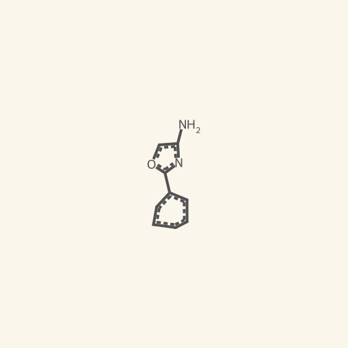 Nc1coc(-c2ccccc2)n1